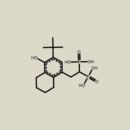 CC(C)(C)c1cc(CC(P(=O)(O)O)P(=O)(O)O)c2c(c1O)CCCC2